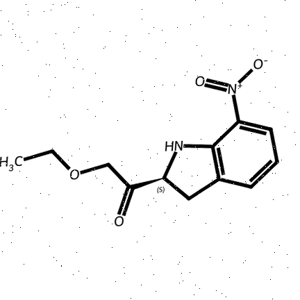 CCOCC(=O)[C@@H]1Cc2cccc([N+](=O)[O-])c2N1